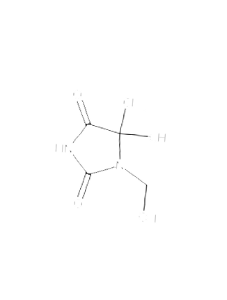 CC1(C)C(=O)NC(=O)N1CO